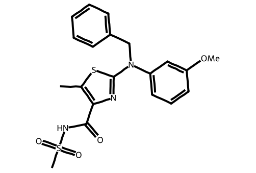 COc1cccc(N(Cc2ccccc2)c2nc(C(=O)NS(C)(=O)=O)c(C)s2)c1